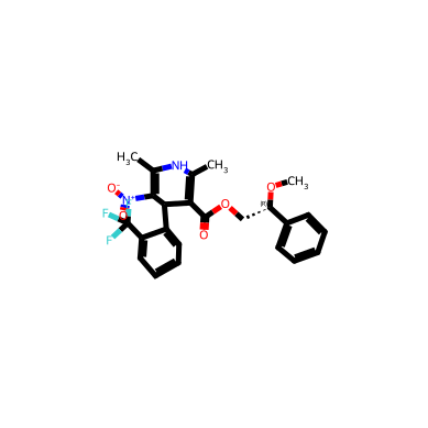 CO[C@@H](COC(=O)C1=C(C)NC(C)=C([N+](=O)[O-])C1c1ccccc1C(F)(F)F)c1ccccc1